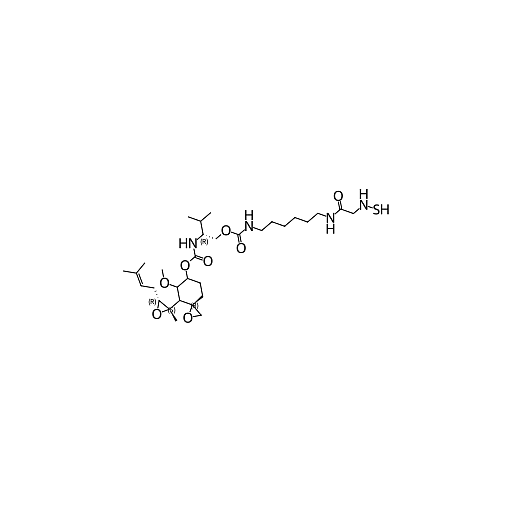 COC1C(OC(=O)N[C@@H](COC(=O)NCCCCCCNC(=O)CNS)C(C)C)CC[C@]2(CO2)C1[C@]1(C)O[C@@H]1CC=C(C)C